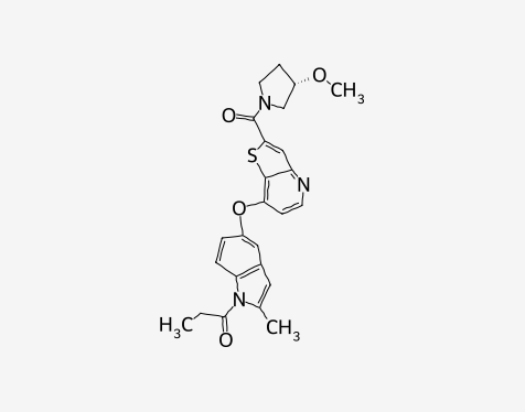 CCC(=O)n1c(C)cc2cc(Oc3ccnc4cc(C(=O)N5CC[C@H](OC)C5)sc34)ccc21